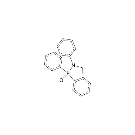 O=P1(c2ccccc2)c2ccccc2CN1c1ccccc1